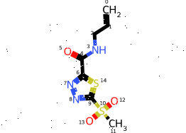 C=CCNC(=O)c1nnc(S(C)(=O)=O)s1